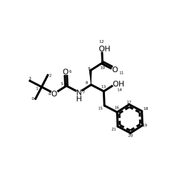 CC(C)(C)OC(=O)N[C@@H](CC(=O)O)C(O)Cc1ccccc1